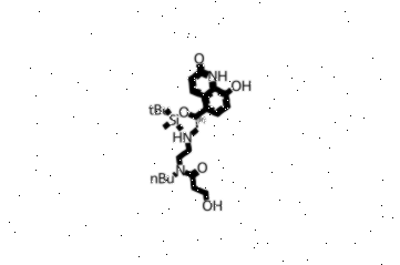 CCCCN(CCNC[C@H](O[Si](C)(C)C(C)(C)C)c1ccc(O)c2[nH]c(=O)ccc12)C(=O)CCO